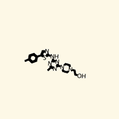 Cc1ccc(-c2cnc(Nc3nc(C)nc(N4CCN(CCO)CC4)n3)s2)cc1